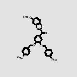 CCOC(=O)c1ccc2c(c1)OC(C(Br)c1ccc(OCc3ccc(OC)cc3)c(OCc3ccc(OC)cc3)c1)O2